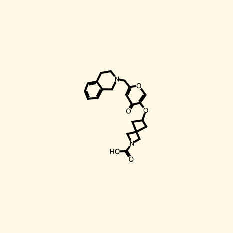 O=C(O)N1CC2(CC(Oc3coc(CN4CCc5ccccc5C4)cc3=O)C2)C1